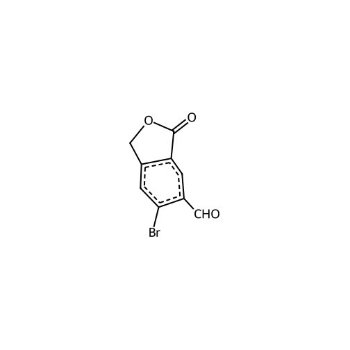 O=Cc1cc2c(cc1Br)COC2=O